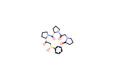 O=C(C[S+]([O-])c1ccccc1)[C@@H]1CCCN1C(=O)[C@@H]1CCCN1C(=O)CN1CCCC1=O